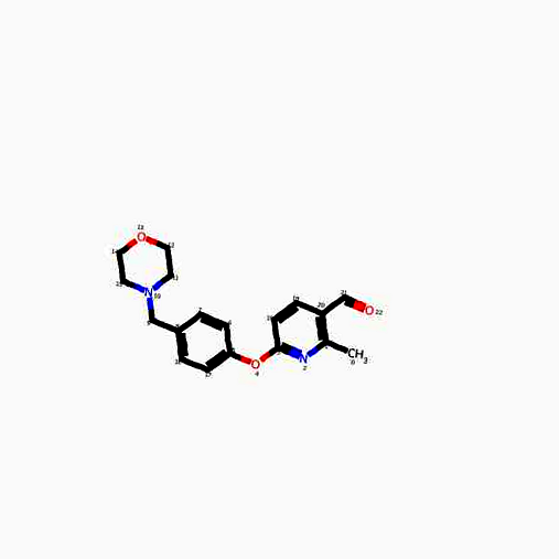 Cc1nc(Oc2ccc(CN3CCOCC3)cc2)ccc1C=O